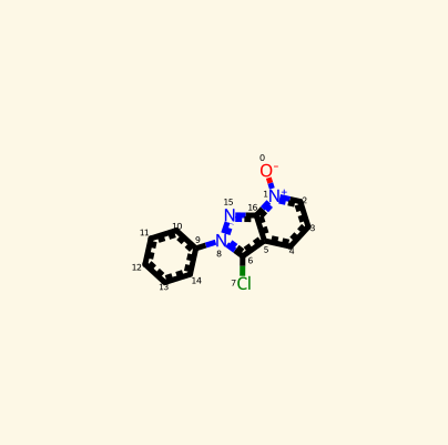 [O-][n+]1cccc2c(Cl)n(-c3ccccc3)nc21